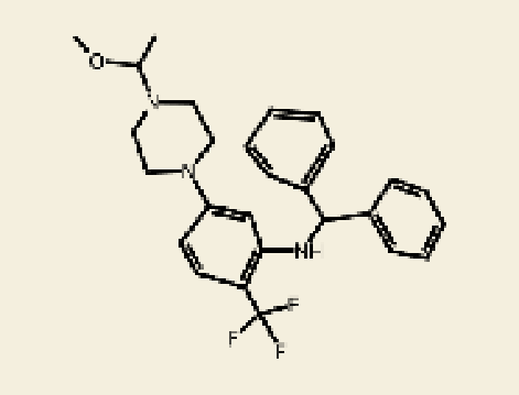 COC(C)N1CCN(c2ccc(C(F)(F)F)c(NC(c3ccccc3)c3ccccc3)c2)CC1